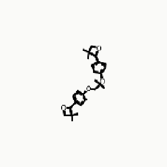 CC(C)(COc1ccc(C2OCC2(C)C)cc1)Oc1ccc(C2OCC2(C)C)cc1